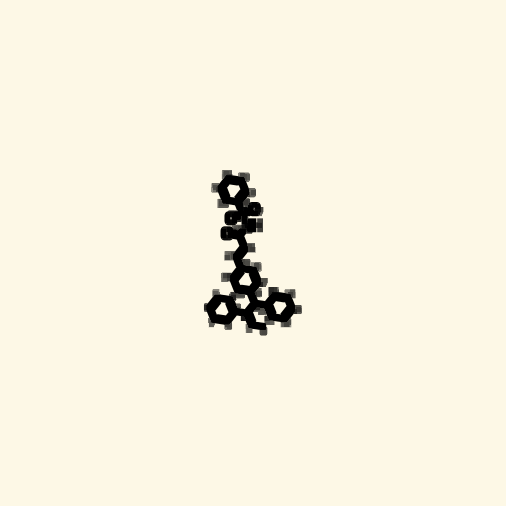 CC=C(c1ccccc1)C(c1ccccc1)c1ccc(C=CC(=O)NS(=O)(=O)c2ccccc2)cc1